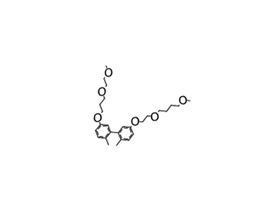 COCCCCOCCOc1ccc(C)c(-c2cc(OCCCOCCOC)ccc2C)c1